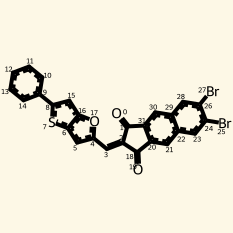 O=C1C(=Cc2cc3sc(-c4ccccc4)cc3o2)C(=O)c2cc3cc(Br)c(Br)cc3cc21